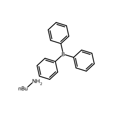 CCCCN.c1ccc(B(c2ccccc2)c2ccccc2)cc1